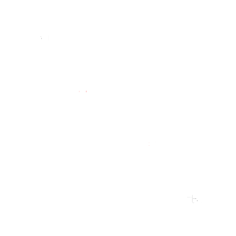 Cc1ccc2c3c(Oc4ccc(C(C)(C)C)cc4)cc(C)c4c(C)ccc(c5c(Oc6ccc(C(C)(C)C)cc6)cc(C)c1c25)c43